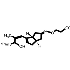 CCCCCC(O)/C(C)=C\C1=CC[C@@H]2C/C(=N\OCCC(=O)O)C[C@@H]12